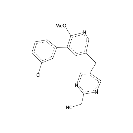 COc1ncc(Cc2cnc(CC#N)nc2)cc1-c1cccc(Cl)c1